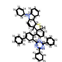 CC12C#CC3C(C4CC=CC=C4N3C3C=CC=CC3)C1S[C@@H]1C=CC=C(C3=CC=C(c4ccccc4)CC3c3nc(C4=CC=CCC4)nc(-c4ccccc4)n3)C12